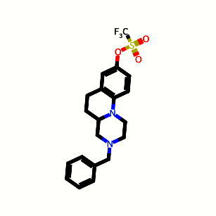 O=S(=O)(Oc1ccc2c(c1)CCC1CN(Cc3ccccc3)CCN21)C(F)(F)F